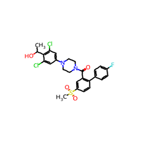 CC(O)c1c(Cl)cc(N2CCN(C(=O)c3cc(S(C)(=O)=O)ccc3-c3ccc(F)cc3)CC2)cc1Cl